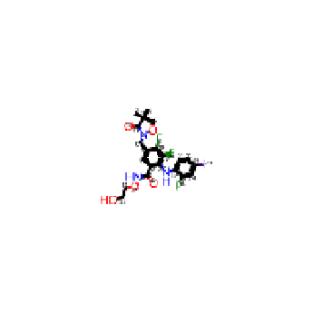 CC1(C)CON(Cc2cc(C(=O)NOCCO)c(Nc3ccc(I)cc3F)c(F)c2F)C1=O